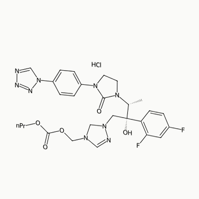 CCCOC(=O)OCN1C=NN(C[C@](O)(c2ccc(F)cc2F)[C@@H](C)N2CCN(c3ccc(-n4cnnn4)cc3)C2=O)C1.Cl